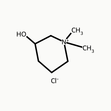 C[N+]1(C)CCCC(O)C1.[Cl-]